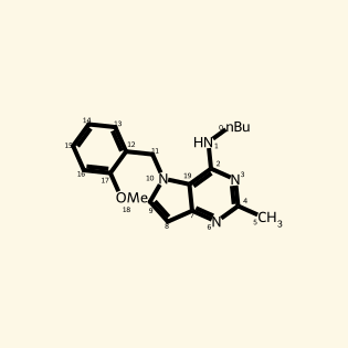 CCCCNc1nc(C)nc2ccn(Cc3ccccc3OC)c12